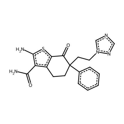 NC(=O)c1c(N)sc2c1CCC(CCn1cncn1)(c1ccccc1)C2=O